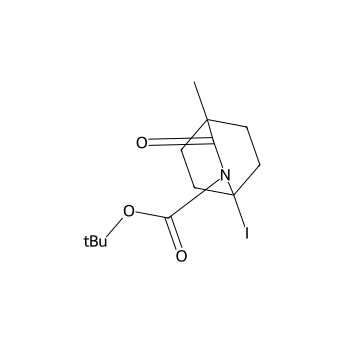 CC(C)(C)OC(=O)N1C(=O)C2(C)CCC1(I)CC2